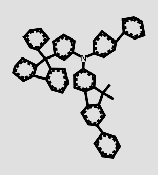 CC1(C)c2cc(-c3ccccc3)ccc2-c2ccc(N(c3ccc(-c4ccccc4)cc3)c3cccc(C4(c5ccccc5)c5ccccc5-c5ccccc54)c3)cc21